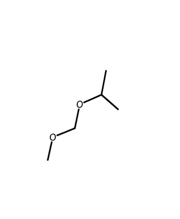 COCOC(C)C